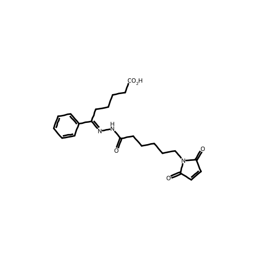 O=C(O)CCCC/C(=N\NC(=O)CCCCCN1C(=O)C=CC1=O)c1ccccc1